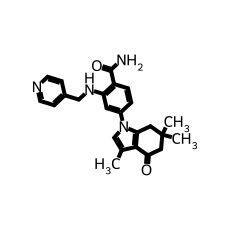 Cc1cn(-c2ccc(C(N)=O)c(NCc3ccncc3)c2)c2c1C(=O)CC(C)(C)C2